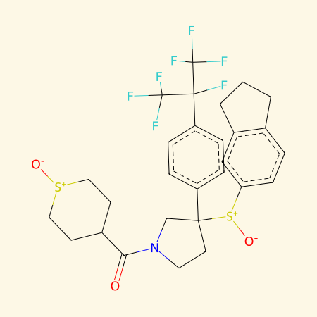 O=C(C1CC[S+]([O-])CC1)N1CCC(c2ccc(C(F)(C(F)(F)F)C(F)(F)F)cc2)([S+]([O-])c2ccc3c(c2)CCC3)C1